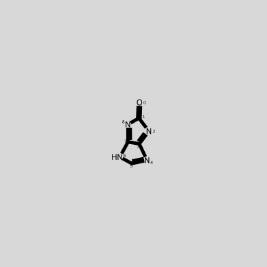 O=C1N=c2nc[nH]c2=N1